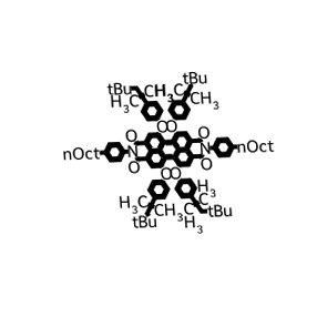 CCCCCCCCc1ccc(N2C(=O)c3cc(Oc4ccc(C(C)(C)CC(C)(C)C)cc4)c4c5c(Oc6ccc(C(C)(C)CC(C)(C)C)cc6)cc6c7c(cc(Oc8ccc(C(C)(C)CC(C)(C)C)cc8)c(c8c(Oc9ccc(C(C)(C)CC(C)(C)C)cc9)cc(c3c48)C2=O)c75)C(=O)N(c2ccc(CCCCCCCC)cc2)C6=O)cc1